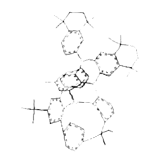 Cc1cc2c3c(c1)N1c4cc(ccc4B3c3cc4c(cc3N2c2ccc3c(c2)C(C)(C)CCC3(C)C)C(C)(C)CCC4(C)C)C(C)(C)c2ccc(cc2)-c2cc(C(C)(C)C)cc(-c3ccccc3)c21